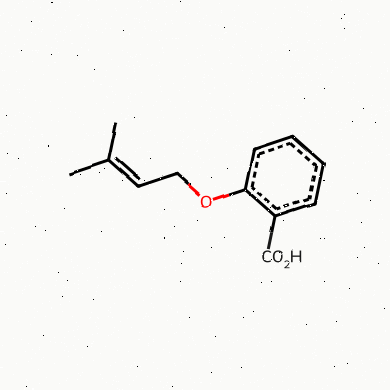 CC(C)=CCOc1ccccc1C(=O)O